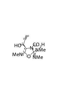 C#CC(O)[C@@H]1C(NC)OC(NC)(NC)N1C(=O)O